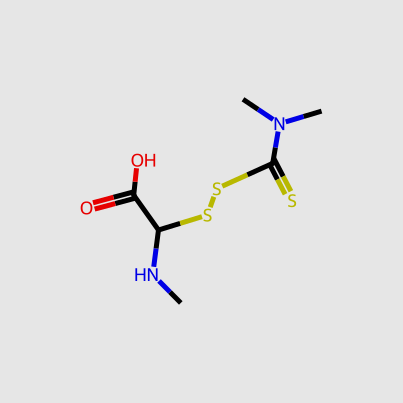 CNC(SSC(=S)N(C)C)C(=O)O